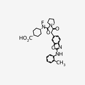 Cc1ccccc1Nc1nc2ccc(CC(=O)[N+]3(C(=O)N(F)[C@H]4CC[C@@H](C(=O)O)CC4)CCCC3)cc2o1